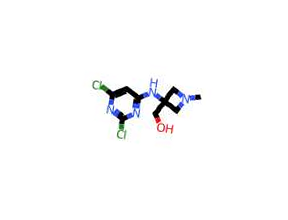 CN1CC(CO)(Nc2cc(Cl)nc(Cl)n2)C1